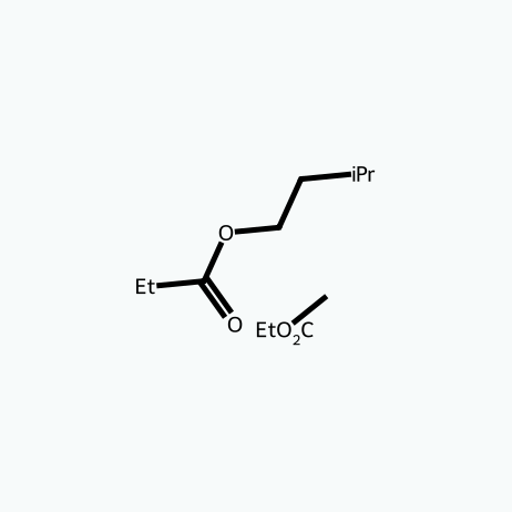 CCC(=O)OCCC(C)C.CCOC(C)=O